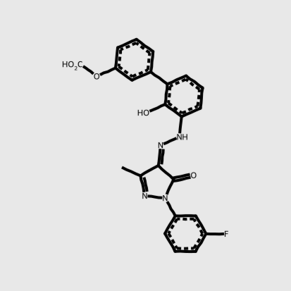 CC1=NN(c2cccc(F)c2)C(=O)C1=NNc1cccc(-c2cccc(OC(=O)O)c2)c1O